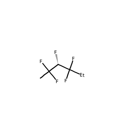 [CH2]CC(F)(F)[C@@H](F)C(C)(F)F